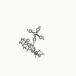 O.O.O.O.[Mg+2].[Mg+2].[O-][Si]([O-])([O-])[O-]